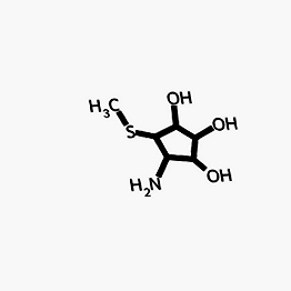 CSC1C(N)C(O)C(O)C1O